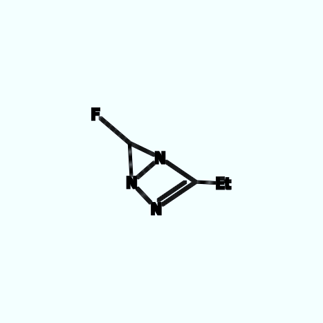 CCc1nn2n1C2F